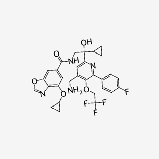 NCc1cc([C@@](O)(CNC(=O)c2cc(OC3CC3)c3ncoc3c2)C2CC2)nc(-c2ccc(F)cc2)c1OCC(F)(F)F